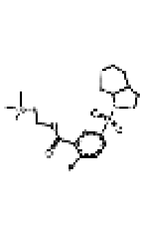 C[Si](C)(C)CCOC(=O)c1cc(S(=O)(=O)N2CCC3CCCCC32)ccc1F